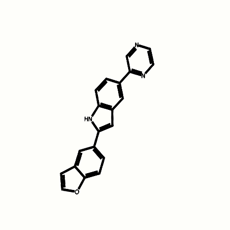 c1cnc(-c2ccc3[nH]c(-c4ccc5occc5c4)cc3c2)cn1